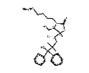 CC[C@@H](CC(C)(C)[Si](O)(c1ccccc1)c1ccccc1)[C@@]1(C)OC(=O)N(CCCCN=[N+]=[N-])[C@@H]1CO